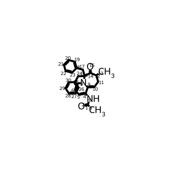 CC(=O)NC1=CC=CN2C1=CCC(C)C(=O)C2(Cc1ccccc1)Cc1ccccc1